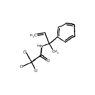 C=CC(C)(NC(=O)C(Cl)(Cl)Cl)c1ccccc1